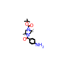 C[C@@H]1CN(C(=O)c2ccc(N)cc2)[C@@H](C)CN1C(=O)OC(C)(C)C